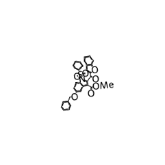 COC(=O)c1c(C(=O)c2cc3ccccc3o2)n(S(=O)(=O)c2ccccc2)c2ccc(OCc3ccccc3)cc12